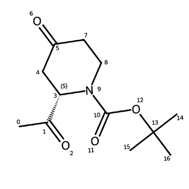 CC(=O)[C@@H]1CC(=O)CCN1C(=O)OC(C)(C)C